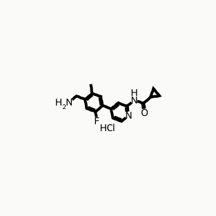 Cc1cc(-c2ccnc(NC(=O)C3CC3)c2)c(F)cc1CN.Cl